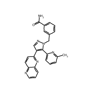 Cc1cccc(-c2c(-c3ccc4ncccc4n3)cnn2Cc2cccc(C(N)=O)c2)n1